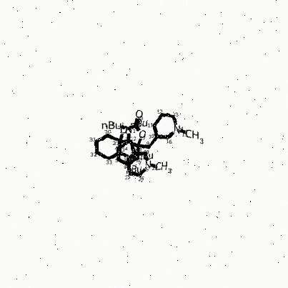 CCCCN(CCCC)C1CCCCC1(CC1CCCN(C)C1)OC(=O)OC1(CC2CCCN(C)C2)CCCCC1N(CCCC)CCCC